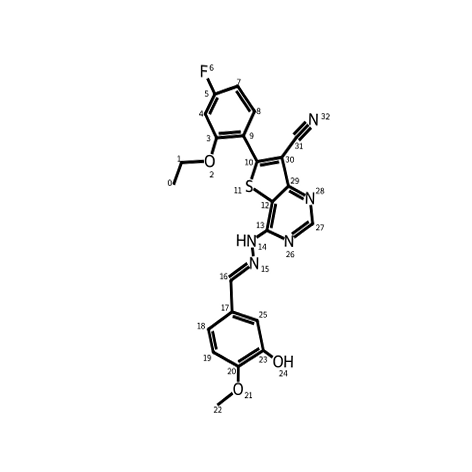 CCOc1cc(F)ccc1-c1sc2c(N/N=C/c3ccc(OC)c(O)c3)ncnc2c1C#N